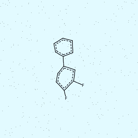 Fc1ccc(-c2ccccc2)cc1F